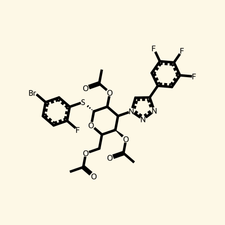 CC(=O)OCC1O[C@H](Sc2cc(Br)ccc2F)C(OC(C)=O)C(n2cc(-c3cc(F)c(F)c(F)c3)nn2)[C@H]1OC(C)=O